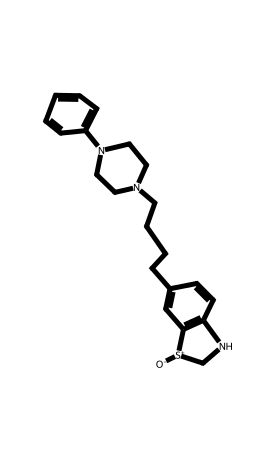 [O-][S+]1CNc2ccc(CCCCN3CCN(c4ccccc4)CC3)cc21